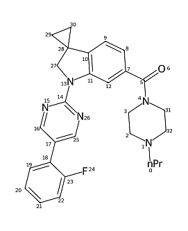 CCCN1CCN(C(=O)c2ccc3c(c2)N(c2ncc(-c4ccccc4F)cn2)CC32CC2)CC1